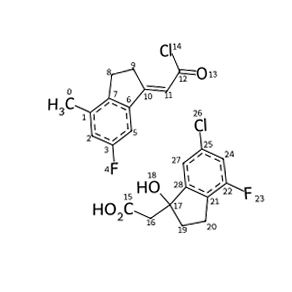 Cc1cc(F)cc2c1CCC2=CC(=O)Cl.O=C(O)CC1(O)CCc2c(F)cc(Cl)cc21